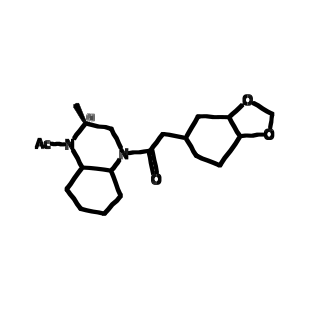 CC(=O)N1C2CCCCC2N(C(=O)CC2CCC3OCOC3C2)C[C@@H]1C